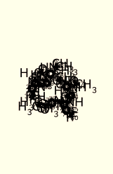 CC(=O)N[C@@H]1C[C@H](NC(C)(C)C)CC[C@@H]1N1CCC(Nc2nc(Cl)nc3ccc(C(F)(F)F)cc23)C1=O.CC(=O)N[C@@H]1C[C@H](NC(C)(C)C)CC[C@@H]1N1CCC(Nc2nc(NC3CCN(C(=O)OC(C)(C)C)CC3)nc3ccc(C(F)(F)F)cc23)C1=O